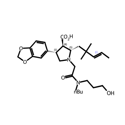 C/C=C/C(C)(C)C[C@H]1[C@H](C(=O)O)[C@@H](c2ccc3c(c2)OCO3)CN1CC(=O)N(CCCC)CCCO